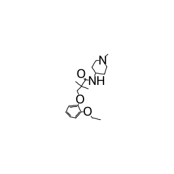 CCOc1ccccc1OCC(C)(C)C(=O)NC1CCN(C)CC1